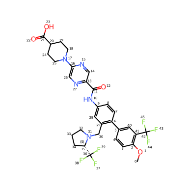 COc1ccc(-c2ccc(NC(=O)c3cnc(N4CCC(C(=O)O)CC4)cn3)cc2CN2CCC[C@H]2C(F)(F)F)cc1C(F)(F)F